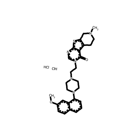 COc1ccc2cccc(N3CCN(CCn4cnc5sc6c(c5c4=O)CCN(C)C6)CC3)c2c1.Cl.Cl